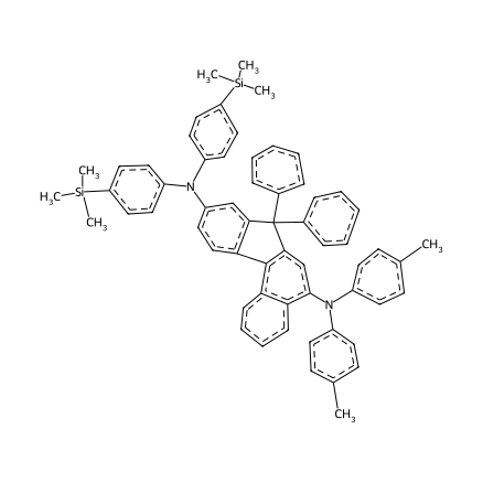 Cc1ccc(N(c2ccc(C)cc2)c2cc3c(c4ccccc24)-c2ccc(N(c4ccc([Si](C)(C)C)cc4)c4ccc([Si](C)(C)C)cc4)cc2C3(c2ccccc2)c2ccccc2)cc1